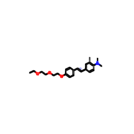 CCOCCOCCOc1ccc(/C=C/c2ccc(N(C)C)c(C)c2)cc1